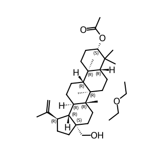 C=C(C)[C@@H]1CC[C@]2(CO)CC[C@]3(C)[C@H](CC[C@@H]4[C@@]5(C)CC[C@H](OC(C)=O)C(C)(C)[C@@H]5CC[C@]43C)[C@@H]12.CCOCC